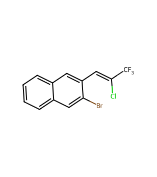 FC(F)(F)C(Cl)=Cc1cc2ccccc2cc1Br